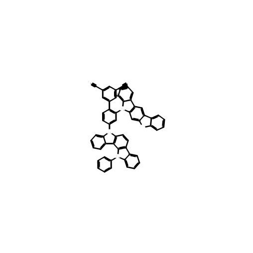 N#Cc1cc(C#N)cc(-c2ccc(-n3c4ccccc4c4c3ccc3c5ccccc5n(-c5ccccc5)c34)cc2-n2c3ccccc3c3cc4c(cc32)sc2ccccc24)c1